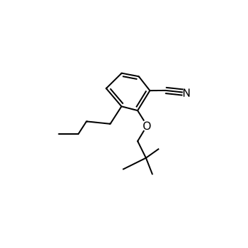 CCCCc1cccc(C#N)c1OCC(C)(C)C